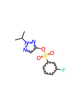 CC(C)n1ncc(OS(=O)(=O)c2cccc(F)c2)n1